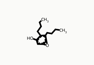 CCCCc1c(O)cc2c(c1CCCC)O2